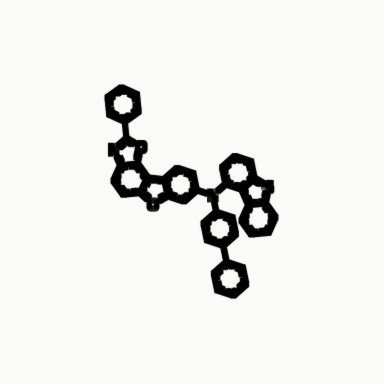 c1ccc(-c2ccc(N(c3ccc4c(c3)oc3ccc5nc(-c6ccccc6)oc5c34)c3cccc4sc5ccccc5c34)cc2)cc1